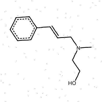 CN(CC=Cc1ccccc1)CCO